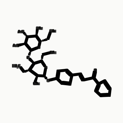 CC(=O)OC[C@@H]1O[C@H](Oc2ccc(/C=C/C(=O)c3ccccc3)cc2)[C@@H](OC(C)=O)[C@H](CC(=O)O)[C@H]1O[C@H]1O[C@@H](COC(C)=O)[C@H](OC(C)=O)[C@@H](OC(C)=O)[C@@H]1OC(C)=O